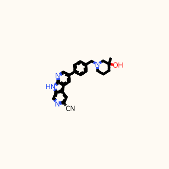 CC1(O)CCCN(Cc2ccc(-c3cnc4[nH]c5cnc(C#N)cc5c4c3)cc2)C1